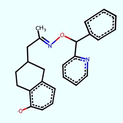 CC(CC1CCc2c([O])cccc2C1)=NOC(c1ccccc1)c1ccccn1